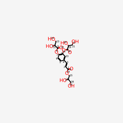 O=C(C=Cc1ccc(OC(=O)C(O)CO)c(OC(=O)C(O)CO)c1)OCC(O)CO